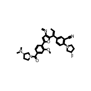 C=Nc1cc(-c2ccc(C(=O)N3CC[C@H](N(C)C)C3)cc2OC)oc1/C(=C\C)c1ccc(N2CC[C@H](F)C2)c(C#N)c1